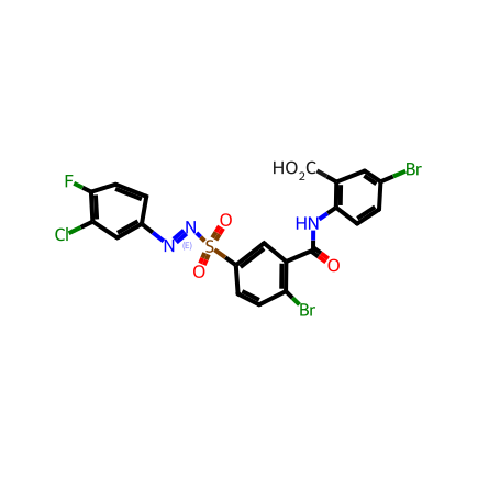 O=C(Nc1ccc(Br)cc1C(=O)O)c1cc(S(=O)(=O)/N=N/c2ccc(F)c(Cl)c2)ccc1Br